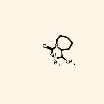 CC(C)[C@@H]1CCCCCN1C(=O)S